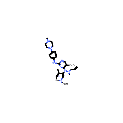 C=CCN(C)N(C(=C/N(C=O)C(C)C)/C(C)=C\C)c1nc(Nc2ccc(N3CCN(C)CC3)cc2)ncc1C=O